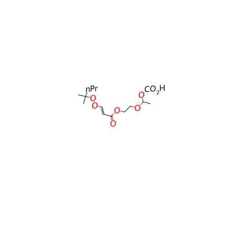 CCCC(C)(C)OOC=CC(=O)OCCOC(C)OC(=O)O